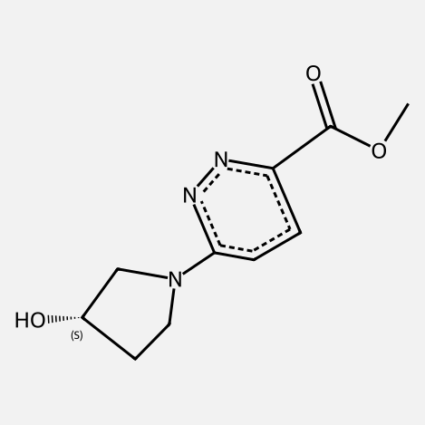 COC(=O)c1ccc(N2CC[C@H](O)C2)nn1